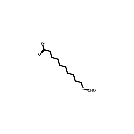 [O]C(=O)CCCCCCCCCOC=O